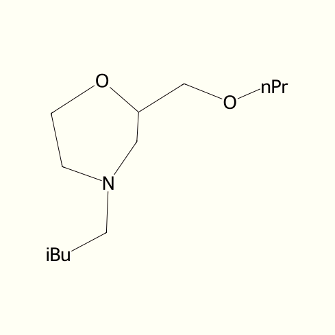 CCCOCC1CN(CC(C)CC)CCO1